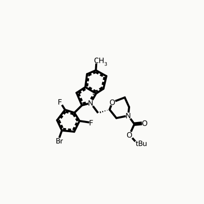 Cc1ccc2c(c1)cc(-c1c(F)cc(Br)cc1F)n2C[C@H]1CN(C(=O)OC(C)(C)C)CCO1